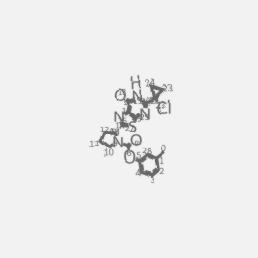 Cc1cccc(OC(=O)N2CCC[C@@H]2c2nc3c(=O)[nH]c(C4(Cl)CC4)nc3s2)c1